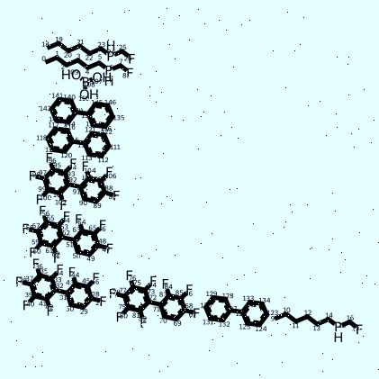 CCCCCCPCF.CCCCCCPCF.CCCCCCPCF.Fc1ccc(-c2c(F)c(F)c(F)c(F)c2F)c(F)c1F.Fc1ccc(-c2c(F)c(F)c(F)c(F)c2F)c(F)c1F.Fc1ccc(-c2c(F)c(F)c(F)c(F)c2F)c(F)c1F.Fc1ccc(-c2c(F)c(F)c(F)c(F)c2F)c(F)c1F.OB(O)O.c1ccc(-c2ccccc2)cc1.c1ccc(-c2ccccc2)cc1.c1ccc(-c2ccccc2)cc1